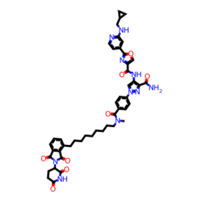 CN(CCCCCCCCCc1cccc2c1C(=O)N(C1CCC(=O)NC1=O)C2=O)C(=O)c1ccc(-n2cc(NC(=O)c3coc(-c4ccnc(NCC5CC5)c4)n3)c(C(N)=O)n2)cc1